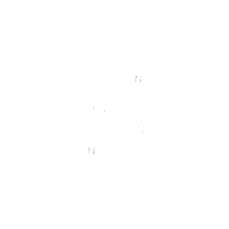 CCOC1=C(/C=C2\Sc3ccccc3N2C)C(=O)C1=Cc1sc2ccccc2[n+]1C